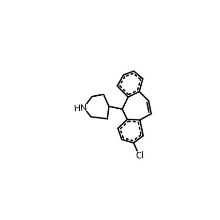 Clc1ccc2c(c1)C=Cc1ccccc1C2C1CCNCC1